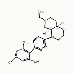 CCN1CC[C@H]2OCCN(c3ccc(-c4c(C)cc(Cl)cc4O)nn3)[C@H]2C1